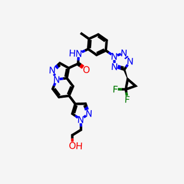 Cc1ccc(-n2nnc([C@H]3CC3(F)F)n2)cc1NC(=O)c1cnn2ccc(-c3cnn(CCO)c3)cc12